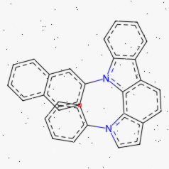 c1ccc(-n2ccc3ccc4c5ccccc5n(-c5ccc6ccccc6c5)c4c32)cc1